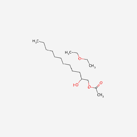 CCCCCCCCCCC(O)COC(C)=O.CCOCC